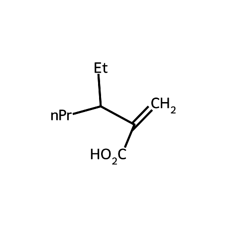 C=C(C(=O)O)C(CC)CCC